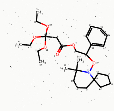 CCOC(CC(=O)OCC(ON1C(C)(C)CCCC12CCCC2)c1ccccc1)(OCC)OCC